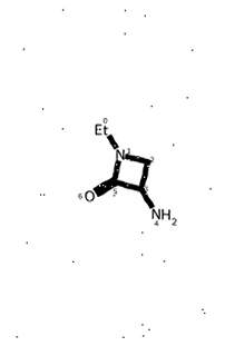 CCN1CC(N)C1=O